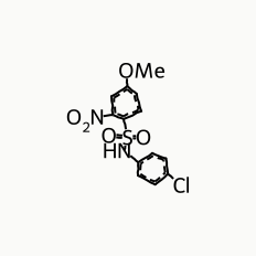 COc1ccc(S(=O)(=O)Nc2ccc(Cl)cc2)c([N+](=O)[O-])c1